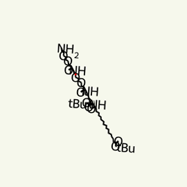 CC(C)(C)OC(=O)CCCCCCCCCCCCCCCCC(=O)N[C@@H](CCCCNC(=O)CCOCCOCCNC(=O)CCOCCOCCN)C(=O)OC(C)(C)C